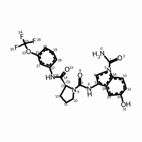 NC(=O)n1cc(NC(=O)N2CCC[C@H]2C(=O)Nc2cccc(OC(F)(F)F)c2)c2cc(O)ccc21